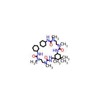 CN(CCN(C)C(=O)NC1CCCCC1)C(=O)NCC1(C)CC(NC(=O)N(C)CCN(C)C(=O)NC2CCCCC2)CC(C)(C)C1